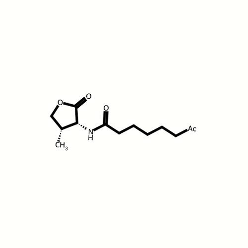 CC(=O)CCCCCC(=O)N[C@H]1C(=O)OC[C@H]1C